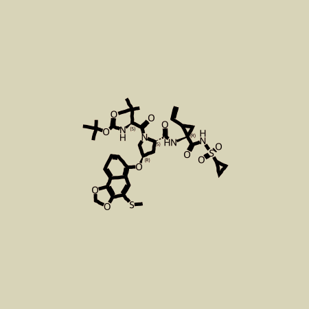 C=CC1C[C@]1(NC(=O)[C@@H]1C[C@@H](Oc2cccc3c4c(c(SC)cc23)OCO4)CN1C(=O)[C@@H](NC(=O)OC(C)(C)C)C(C)(C)C)C(=O)NS(=O)(=O)C1CC1